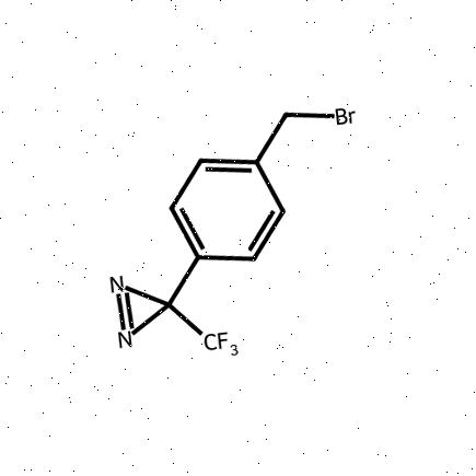 FC(F)(F)C1(c2ccc(CBr)cc2)N=N1